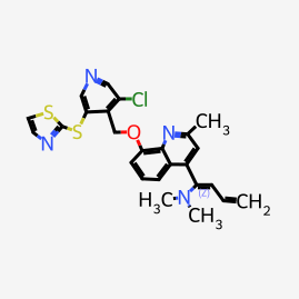 C=C/C=C(/c1cc(C)nc2c(OCc3c(Cl)cncc3Sc3nccs3)cccc12)N(C)C